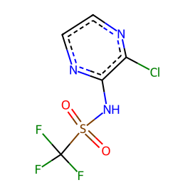 O=S(=O)(Nc1nccnc1Cl)C(F)(F)F